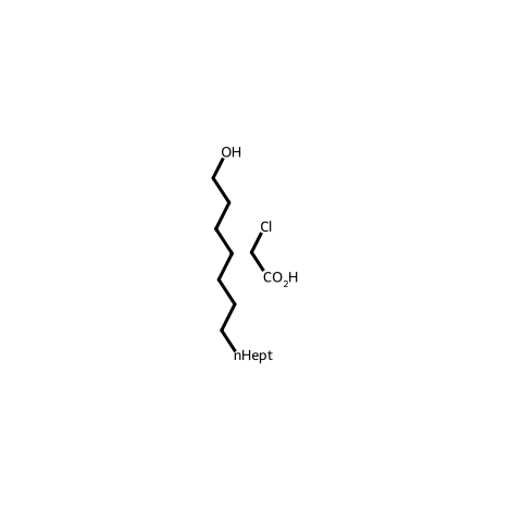 CCCCCCCCCCCCCCO.O=C(O)CCl